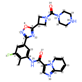 Cc1c(F)cc(-c2noc(C3CN(C(=O)N4CCNCC4)C3)n2)cc1NC(=O)c1cnc2ccccn12